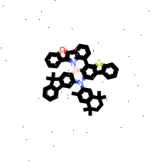 Cc1cc2c(cc1N1c3cc4c(cc3B3c5c1cc1c(sc6ccccc61)c5-c1cccc5c6oc7ccccc7c6n3c15)C(C)(C)c1ccccc1-4)C(C)(C)CCC2(C)C